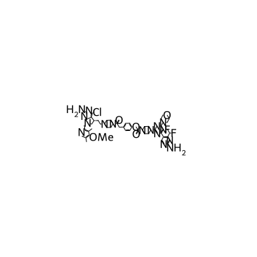 COc1c(C)cnc(CN2C[C@H](CCN3CCN(C(=O)Cc4ccc(OC(=O)N5CCN(c6nc(-c7cnc(N)nc7C(F)F)nc(N7CCOCC7)n6)CC5)cc4)CC3)c3c(Cl)nc(N)nc32)c1C